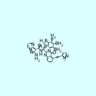 Bc1c(B)c(B)c(-n2c(C(C)NC(=O)c3c(N)nn4cccnc34)nc3cccc(C#Cc4ccnn4C)c3c2=O)c(B)c1B